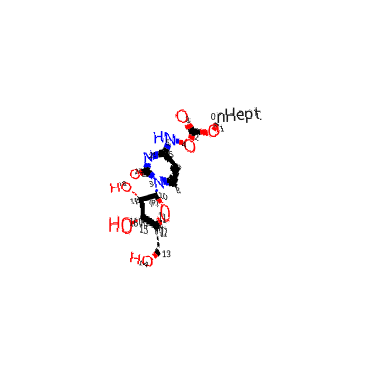 CCCCCCCOC(=O)ONc1ccn([C@@H]2O[C@H](CO)[C@H](O)[C@@H]2O)c(=O)n1